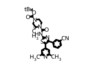 Cc1cc(-c2sc(NC(=O)N3CCN(C(=O)OC(C)(C)C)C[C@@H]3C)nc2-c2cccc(C#N)c2)cc(C)n1